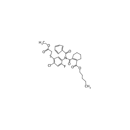 CCCCCOC(=O)C1=C(C(=O)N(C(=O)c2ccccc2)c2cc(SCC(=O)OC)c(Cl)cc2F)CCCC1